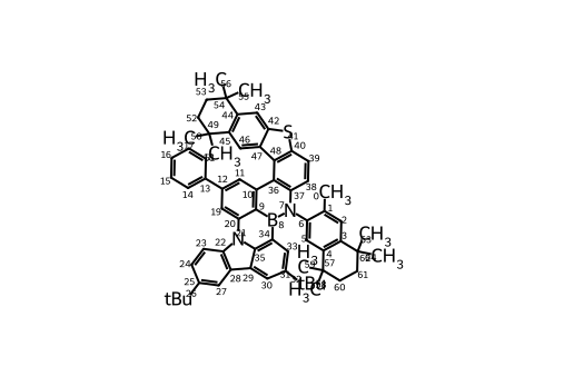 Cc1cc2c(cc1N1B3c4c(cc(-c5ccccc5)cc4-n4c5ccc(C(C)(C)C)cc5c5cc(C(C)(C)C)cc3c54)-c3c1ccc1sc4cc5c(cc4c31)C(C)(C)CCC5(C)C)C(C)(C)CCC2(C)C